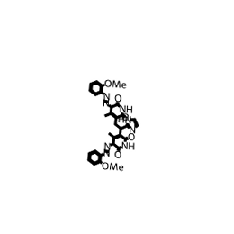 COc1ccccc1N=NC1C(=O)NC(=O)C(CC(C2=C(C)C(N=Nc3ccccc3OC)C(=O)NC2=O)c2ncc[nH]2)=C1C